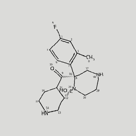 Cc1cc(F)ccc1[C@@]1(C(=O)C2CCNCC2)CNCCN1C(=O)O